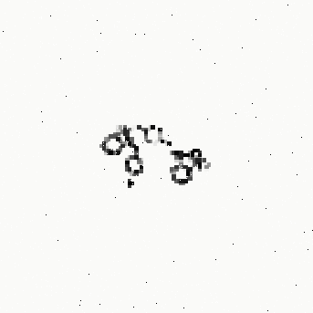 O=[N+]([O-])c1ccccc1NCCN1CCC(Cc2nc3ccccc3n2Cc2ccc(F)cc2)CC1